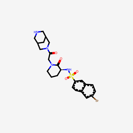 O=C(CN1CCC[C@H](NS(=O)(=O)c2ccc3cc(Br)ccc3c2)C1=O)N1CC2CNCC(C2)C1